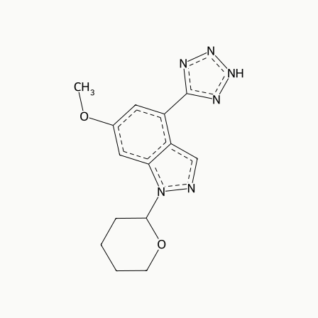 COc1cc(-c2nn[nH]n2)c2cnn(C3CCCCO3)c2c1